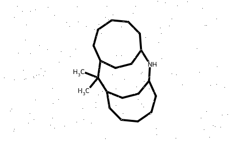 CC1(C)C2CCCCCC(CC2)NC2CCCCCC1CC2